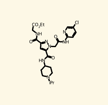 CCOC(=O)CNC(=O)c1cc(C(=O)NC2CCN(C(C)C)CC2)n(CC(=O)Nc2ccc(Cl)cn2)n1